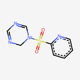 O=S(=O)(c1ccccn1)[N+]1C=NC=NC1